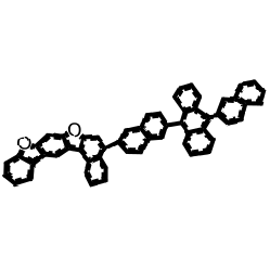 c1ccc2cc(-c3c4ccccc4c(-c4ccc5cc(-c6cc7oc8cc9oc%10ccccc%10c9cc8c7c7ccccc67)ccc5c4)c4ccccc34)ccc2c1